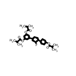 C=C(C)C(=O)Oc1ccc(-c2ccc(-c3cc(OC(=O)C(=C)C)cc(OC(=O)C(=C)C)c3)cc2F)cc1